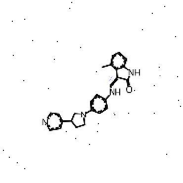 Cc1cccc2c1/C(=C/Nc1ccc(N3CCC(c4ccncc4)C3)cc1)C(=O)N2